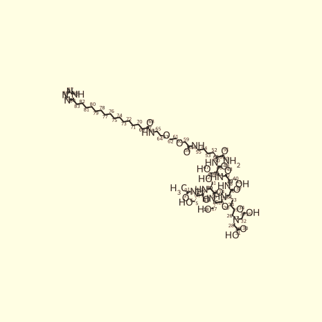 CC(=O)N[C@@H](CO)C(=O)N[C@@H](CO)C(=O)N[C@@H](CO)C(=O)N[C@@H](CCCCN(CC(=O)O)CC(=O)O)C(=O)N[C@@H](CO)C(=O)N[C@@H](CO)C(=O)N[C@@H](CCCCNC(=O)COCCOCCNC(=O)CCCCCCCCCCCCCCCc1nnn[nH]1)C(N)=O